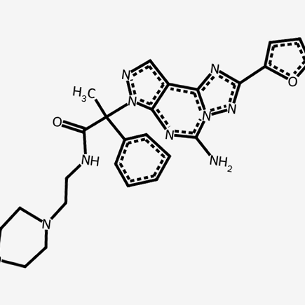 CC(C(=O)NCCN1CCOCC1)(c1ccccc1)n1ncc2c1nc(N)n1nc(-c3ccco3)nc21